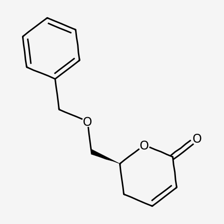 O=C1C=CC[C@@H](COCc2ccccc2)O1